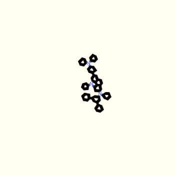 c1ccc(-c2cc(-c3ccccc3)cc(N(c3ccccc3)c3cc4ccc5cc(-c6ccc(N(c7ccccc7)c7ccccc7)cc6)cc6c5c4c(c3)n6-c3ccccc3)c2)cc1